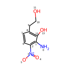 Nc1c([N+](=O)[O-])ccc(CCO)c1O